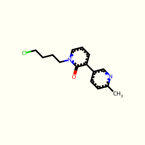 Cc1ccc(-c2cccn(CCCCCl)c2=O)cn1